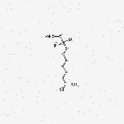 CCCCC(C)CCCCCCC(CC)(CC)O[C]=O